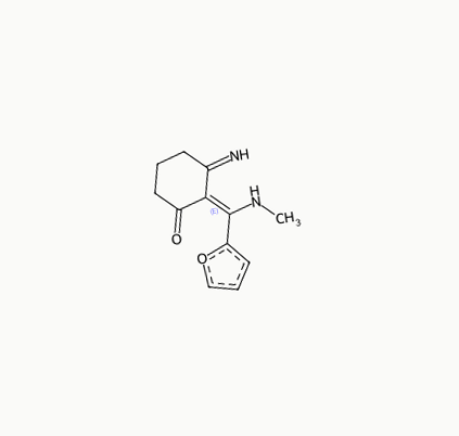 CN/C(=C1\C(=N)CCCC1=O)c1ccco1